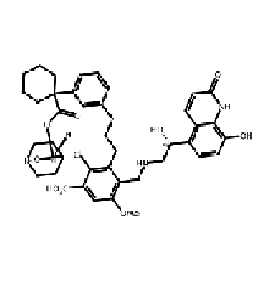 COc1cc(C(=O)O)c(Cl)c(CCCc2cccc(C3(C(=O)O[C@H]4CN5CCC4CC5)CCCCC3)c2)c1CNC[C@H](O)c1ccc(O)c2[nH]c(=O)ccc12